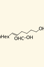 CCCCCCC=CCCCCO.O=CO